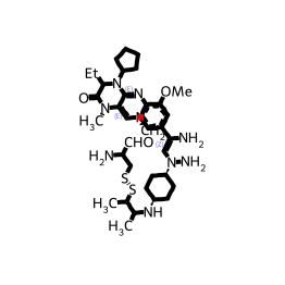 C=N/C=C1\C(=N/c2ccc(/C(N)=C/N(N)[C@H]3CC[C@@H](NC(C)C(C)SSCC(N)C=O)CC3)cc2OC)N(C2CCCC2)C(CC)C(=O)N1C